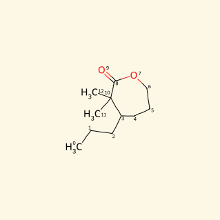 CCCC1CCCOC(=O)C1(C)C